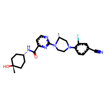 C[C@@H]1CN(c2ccc(C#N)cc2F)CCN1c1nccc(C(=O)N[C@H]2CC[C@@](C)(O)CC2)n1